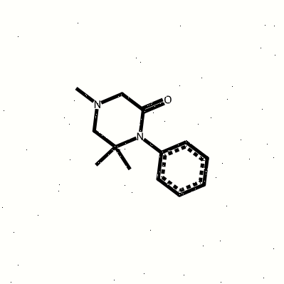 CN1CC(=O)N(c2ccccc2)C(C)(C)C1